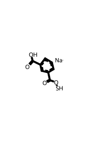 O=C(O)c1cccc(C(=O)OS)c1.[Na]